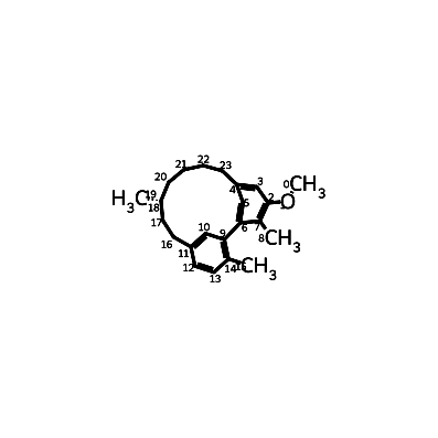 COc1cc2cc(c1C)-c1cc(ccc1C)CC[C@H](C)CCCC2